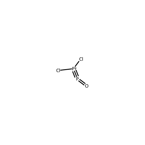 O=[P]#[Pt]([Cl])[Cl]